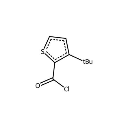 CC(C)(C)c1ccsc1C(=O)Cl